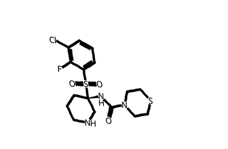 O=C(N[C@]1(S(=O)(=O)c2cccc(Cl)c2F)CCCNC1)N1CCSCC1